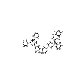 c1ccc(-c2nc(-c3ccccc3)nc(-c3ccc4oc5ccc(-c6ccc7c(c6)c6ccccc6n7-c6ccc7ccccc7c6)cc5c4c3)n2)cc1